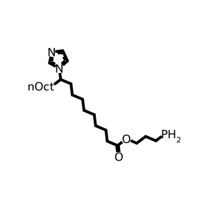 CCCCCCCCC(CCCCCCCCC(=O)OCCCP)n1ccnc1